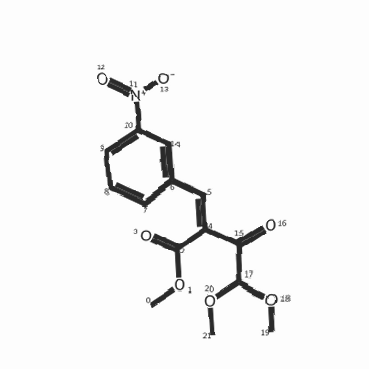 COC(=O)C(=Cc1cccc([N+](=O)[O-])c1)C(=O)C(OC)OC